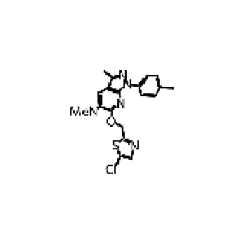 CNc1cc2c(C)nn(-c3ccc(C)cc3)c2nc1OCc1ncc(Cl)s1